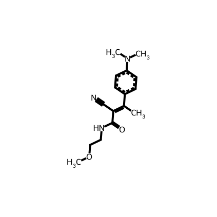 COCCNC(=O)/C(C#N)=C(\C)c1ccc(N(C)C)cc1